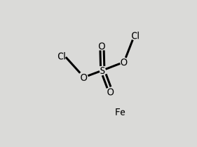 O=S(=O)(OCl)OCl.[Fe]